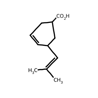 CC(C)=CC1C=CCC(C(=O)O)C1